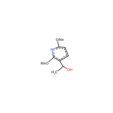 COc1ccc(C(C)O)c(OC)n1